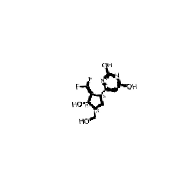 OC[C@@H]1C[C@H](c2cc(O)nc(O)n2)C(=C(F)F)[C@H]1O